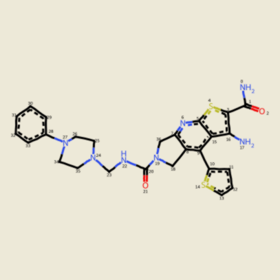 NC(=O)c1sc2nc3c(c(-c4cccs4)c2c1N)CN(C(=O)NCN1CCN(c2ccccc2)CC1)C3